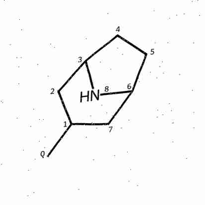 [CH2]C1CC2CCC(C1)N2